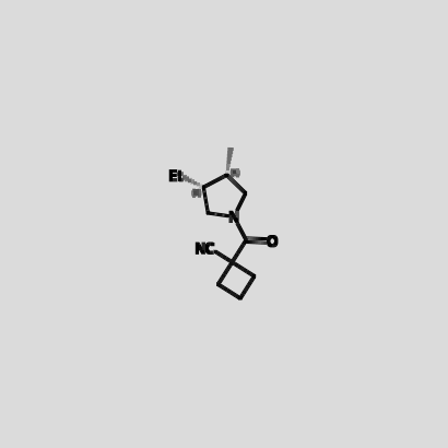 CC[C@H]1CN(C(=O)C2(C#N)CCC2)C[C@H]1C